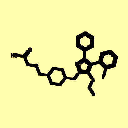 CCSc1c(-c2ccccc2F)c(-c2ccccc2)nn1C[C@H]1CC[C@H](COCC(=O)O)CC1